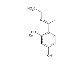 CC(=NCC(=O)O)c1ccc(O)cc1O.[Cu]